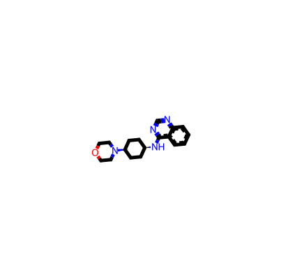 c1ccc2c(N[C@H]3CC[C@H](N4CCOCC4)CC3)ncnc2c1